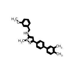 COc1cccc(CNc2cc(-c3ccc(-c4ccc(C)c(C)c4)cc3)nn2C)c1